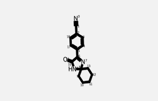 N#Cc1ccc(C2=NC3(CCCCC3)NC2=O)cc1